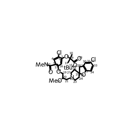 CNC(=O)c1cc(Cl)c(OC(C)(C)C(=O)OC(C)(C)C)cc1OCC(CN1CCC2(CC1)Cc1cc(Cl)ccc1O2)OC